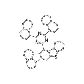 c1ccc2c(-c3nc(-c4cccc5ccccc45)nc(-c4c5c(cc6sc7ccccc7c46)-c4cccc6cccc-5c46)n3)cccc2c1